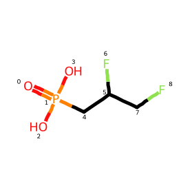 O=P(O)(O)CC(F)CF